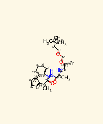 CC1C(=O)N(NC(=O)[C@H](C)NC[C@@H](OCOCC[Si](C)(C)C)C(C)C)c2ccccc2-c2ccccc21